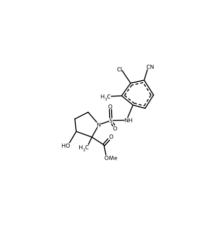 COC(=O)C1(C)C(O)CCN1S(=O)(=O)Nc1ccc(C#N)c(Cl)c1C